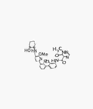 COc1nc(-c2cccc(-c3cccc(NC(=O)c4ncnn(C)c4=O)c3Cl)c2Cl)ccc1CN[C@@H]1CCCC[C@H]1O